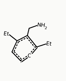 CCc1c[c]cc(CC)c1CN